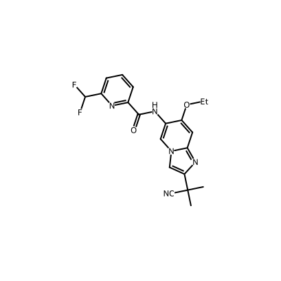 CCOc1cc2nc(C(C)(C)C#N)cn2cc1NC(=O)c1cccc(C(F)F)n1